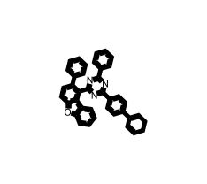 C1=CC(c2ccc(-c3nc(-c4ccccc4)nc(-c4c(-c5ccccc5)ccc5oc6ccccc6c45)n3)cc2)=CCC1